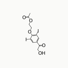 CC(=O)OCCOc1c(I)cc(C(=O)CO)cc1I